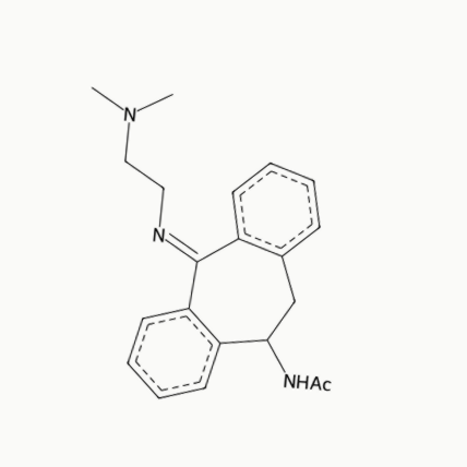 CC(=O)NC1Cc2ccccc2C(=NCCN(C)C)c2ccccc21